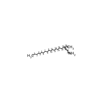 CCCCCCCCCCCCCCCCCCN(CC)CCCN